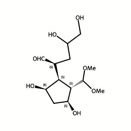 COC(OC)[C@H]1[C@H]([C@@H](C=O)CC(O)CO)[C@H](O)C[C@@H]1O